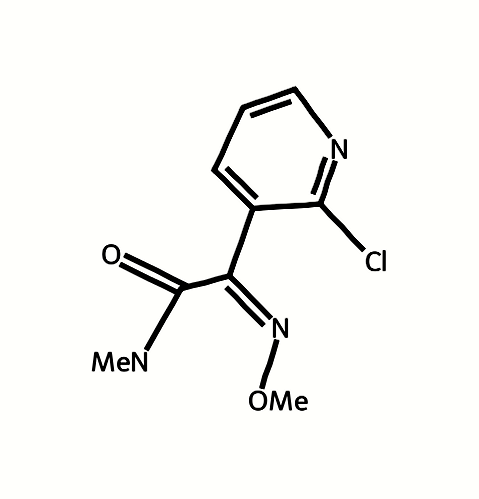 CNC(=O)C(=NOC)c1cccnc1Cl